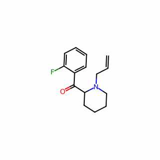 C=CCN1CCCCC1C(=O)c1ccccc1F